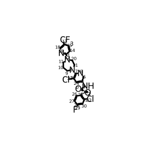 O=S(=O)(Nc1cnc(N2CCCN(c3ccc(C(F)(F)F)cn3)CC2)c(Cl)c1)c1ccc(F)cc1Cl